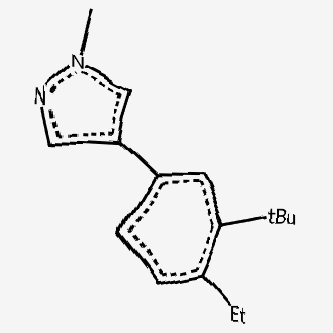 CCc1ccc(-c2cnn(C)c2)cc1C(C)(C)C